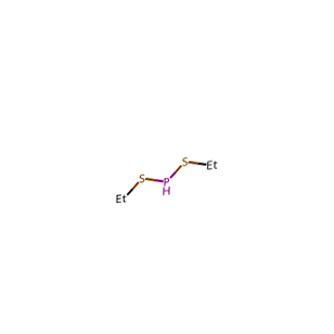 CCSPSCC